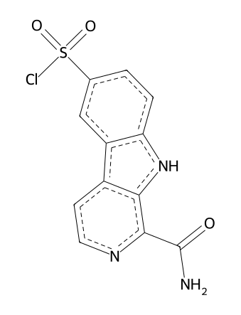 NC(=O)c1nccc2c1[nH]c1ccc(S(=O)(=O)Cl)cc12